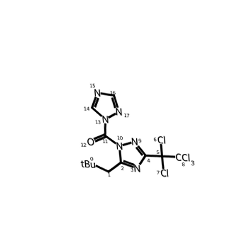 CC(C)(C)Cc1nc(C(Cl)(Cl)C(Cl)(Cl)Cl)nn1C(=O)n1cncn1